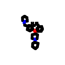 [SiH3]c1ccccc1.c1cc(OC2CCN(C3CCCCC3)CC2)ccc1CN1CCCCC1